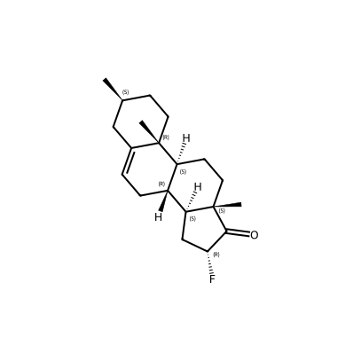 C[C@H]1CC[C@@]2(C)C(=CC[C@@H]3[C@@H]2CC[C@]2(C)C(=O)[C@H](F)C[C@@H]32)C1